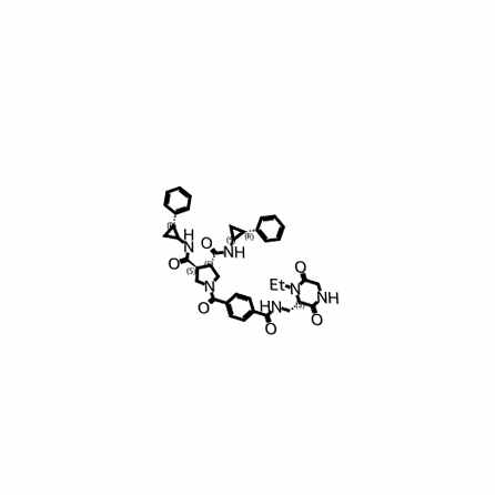 CCN1C(=O)CNC(=O)[C@@H]1CNC(=O)c1ccc(C(=O)N2C[C@@H](C(=O)NC3C[C@@H]3c3ccccc3)[C@H](C(=O)N[C@H]3C[C@@H]3c3ccccc3)C2)cc1